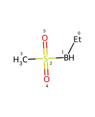 CCBS(C)(=O)=O